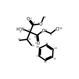 COC(=O)C(N)(C(=O)OCCl)C(C)C.c1ccccc1